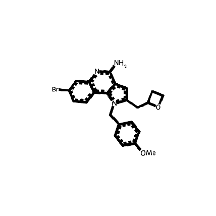 COc1ccc(Cn2c(CC3CCO3)cc3c(N)nc4cc(Br)ccc4c32)cc1